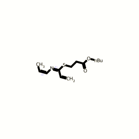 C=C/C(=N\C=C/C)SCCC(=O)OCCCC